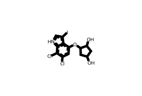 OC1CC(O)C(Oc2cc(Cl)c(Cl)c3[nH]cc(I)c23)C1